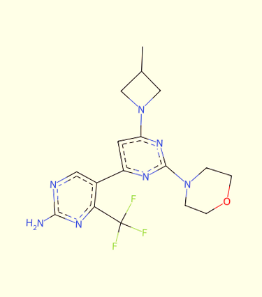 CC1CN(c2cc(-c3cnc(N)nc3C(F)(F)F)nc(N3CCOCC3)n2)C1